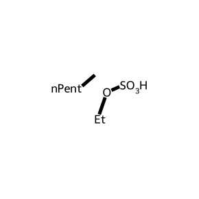 CCCCCC.CCOS(=O)(=O)O